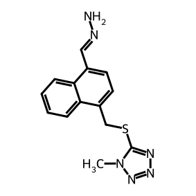 Cn1nnnc1SCc1ccc(/C=N/N)c2ccccc12